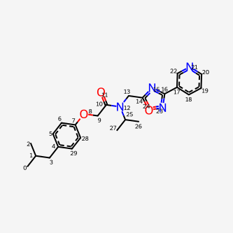 CC(C)Cc1ccc(OCC(=O)N(Cc2nc(-c3cccnc3)no2)C(C)C)cc1